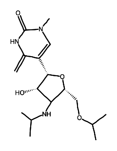 C=C1NC(=O)N(C)C=C1[C@@H]1O[C@H](COC(C)C)C(NC(C)C)[C@@H]1O